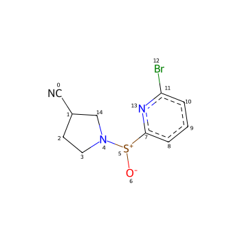 N#CC1CCN([S+]([O-])c2cccc(Br)n2)C1